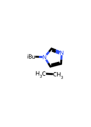 CC.CCC(C)n1ccnc1